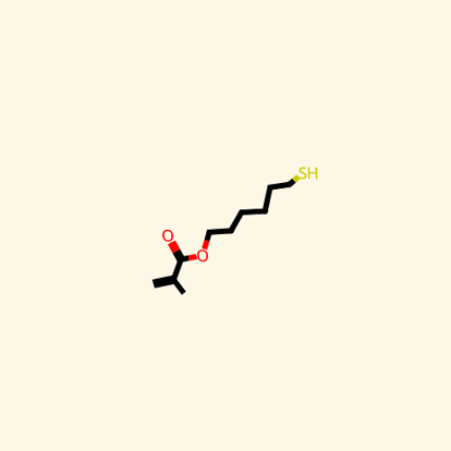 C=C(C)C(=O)OCCCCCCS